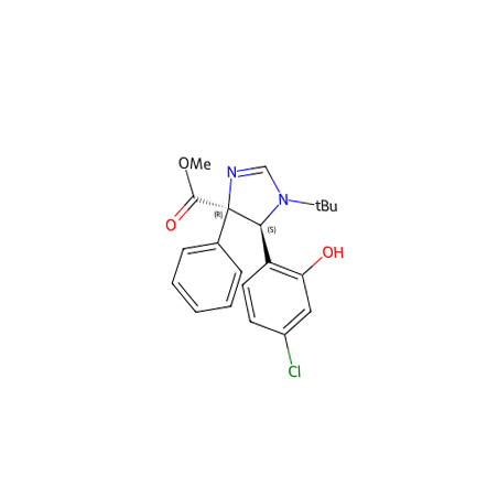 COC(=O)[C@]1(c2ccccc2)N=CN(C(C)(C)C)[C@H]1c1ccc(Cl)cc1O